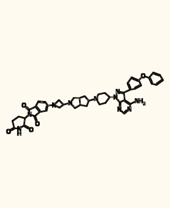 Nc1ncnc2c1c(-c1ccc(Oc3ccccc3)cc1)nn2C1CCN(C2CC3CN(C4CN(c5ccc6c(c5)C(=O)N(C5CCC(=O)NC5=O)C6=O)C4)CC3C2)CC1